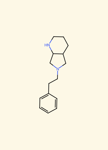 c1ccc(CCN2CC3CCCNC3C2)cc1